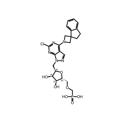 O=P(O)(O)COC[C@H]1O[C@H](Cn2ncc3c(N4CC5(CCc6ccccc65)C4)nc(Cl)nc32)[C@H](O)[C@@H]1O